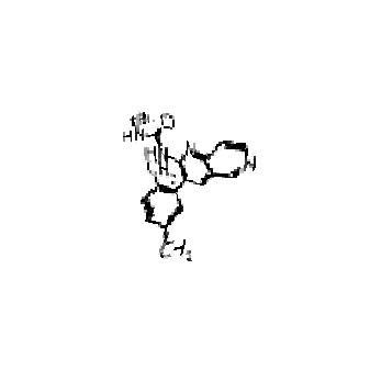 Cc1ccc(C)c(-c2cc3cnccc3nc2NC(=O)NC(C)(C)C)c1